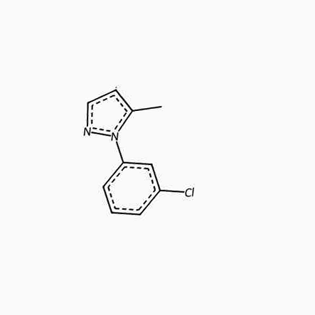 Cc1[c]cnn1-c1cccc(Cl)c1